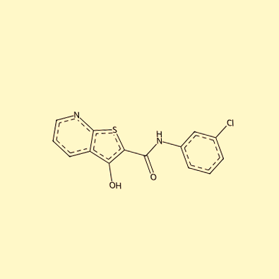 O=C(Nc1cccc(Cl)c1)c1sc2ncccc2c1O